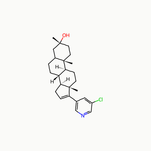 C[C@@]1(O)CC[C@@]2(C)C(CC[C@@H]3[C@@H]2CC[C@]2(C)C(c4cncc(Cl)c4)=CC[C@@H]32)C1